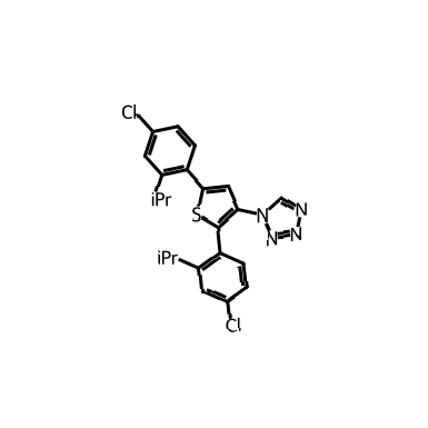 CC(C)c1cc(Cl)ccc1-c1cc(-n2cnnn2)c(-c2ccc(Cl)cc2C(C)C)s1